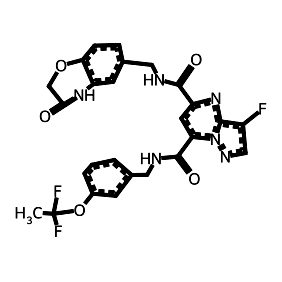 CC(F)(F)Oc1cccc(CNC(=O)c2cc(C(=O)NCc3ccc4c(c3)NC(=O)CO4)nc3c(F)cnn23)c1